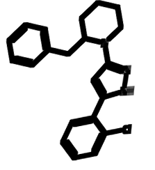 Clc1ccccc1-c1cc(N2CCCCC2Cc2ccccc2)n[nH]1